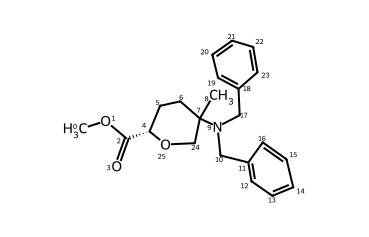 COC(=O)[C@@H]1CCC(C)(N(Cc2ccccc2)Cc2ccccc2)CO1